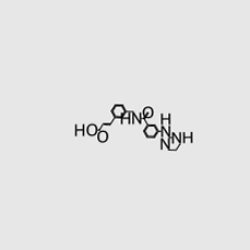 O=C(O)C=Cc1cccc(CNC(=O)c2cccc(NC3=NCCCN3)c2)c1